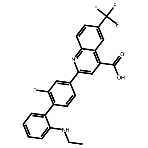 CCNc1ccccc1-c1ccc(-c2cc(C(=O)O)c3cc(C(F)(F)F)ccc3n2)cc1F